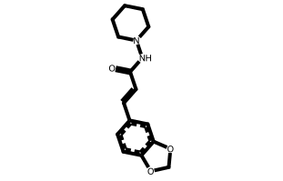 O=C(C=Cc1ccc2c(c1)OCO2)NN1CCCCC1